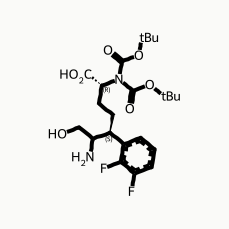 CC(C)(C)OC(=O)N(C(=O)OC(C)(C)C)[C@H](CC[C@@H](c1cccc(F)c1F)C(N)CO)C(=O)O